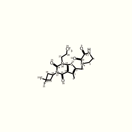 Cc1c(CN2CCNC(=O)C2=O)sc2c1c(=O)n(C1CC(F)(F)C1)c(=O)n2CCC(F)(F)F